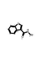 CC(C)NC(=O)c1csc2ccccc12